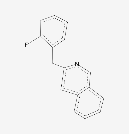 Fc1ccccc1Cc1cc2ccccc2cn1